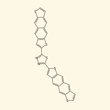 c1cc2cc3cc4sc(-c5nnc(-c6cc7cc8cc9sccc9cc8cc7s6)s5)cc4cc3cc2s1